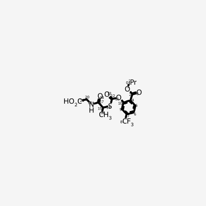 CC(C)OC(=O)c1ccc(C(F)(F)F)cc1OC(=O)SC(C)C(=O)NCC(=O)O